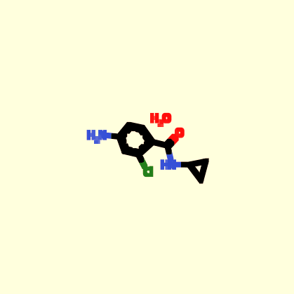 Nc1ccc(C(=O)NC2CC2)c(Cl)c1.O